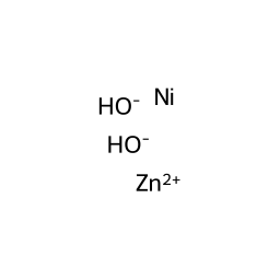 [Ni].[OH-].[OH-].[Zn+2]